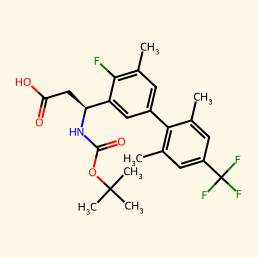 Cc1cc(-c2c(C)cc(C(F)(F)F)cc2C)cc([C@H](CC(=O)O)NC(=O)OC(C)(C)C)c1F